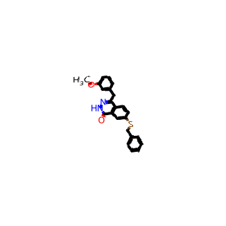 COc1cccc(Cc2n[nH]c(=O)c3cc(SCc4ccccc4)ccc23)c1